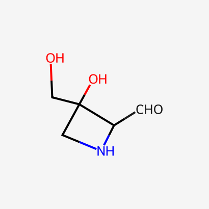 O=CC1NCC1(O)CO